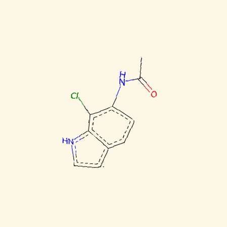 CC(=O)Nc1ccc2[c]c[nH]c2c1Cl